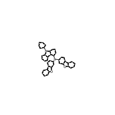 c1ccc(-n2c3ccccc3c3c(N(c4ccc5c(c4)oc4ccccc45)c4ccc5c(c4)oc4ccccc45)cccc32)cc1